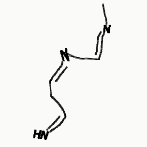 C/N=C\N=C/C=N